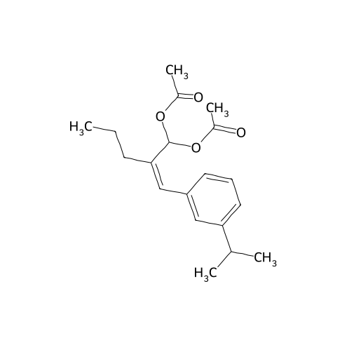 CCCC(=Cc1cccc(C(C)C)c1)C(OC(C)=O)OC(C)=O